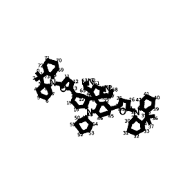 CC1(C)c2ccccc2N(c2ccc(-c3ccc4c(c3)C3(c5cc(-c6ccc(N7c8ccccc8C(C)(C)c8ccccc87)o6)ccc5N4c4ccccc4)c4cccnc4-c4ncccc43)o2)c2ccccc21